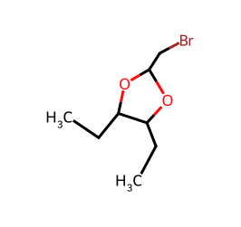 CCC1OC(CBr)OC1CC